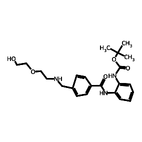 CC(C)(C)OC(=O)Nc1ccccc1NC(=O)c1ccc(CNCCOCCO)cc1